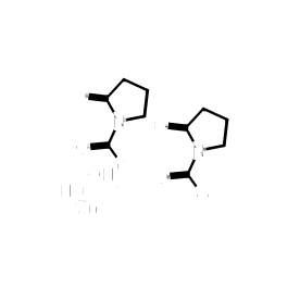 O.O.O=C([O-])N1CCCC1=O.O=C([O-])N1CCCC1=O.[Zn+2]